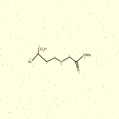 COC(=O)COCCC(C(C)=O)C(=O)O